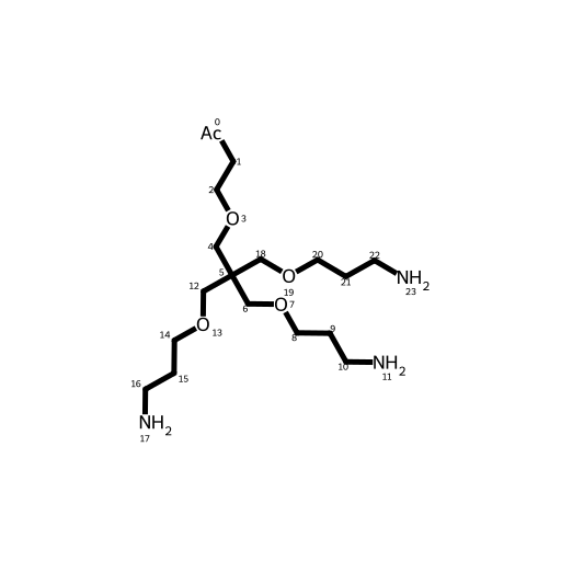 CC(=O)CCOCC(COCCCN)(COCCCN)COCCCN